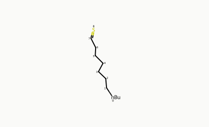 [CH2]CCCCCCCCCC=S